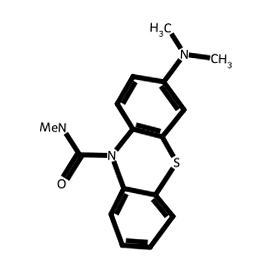 CNC(=O)N1c2ccccc2Sc2cc(N(C)C)ccc21